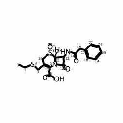 CCSCC1=C(C(=O)O)N2C(=O)C(NC(=O)Cc3ccccc3)[C@H]2[S+]([O-])C1